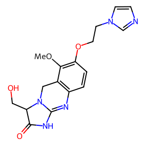 COc1c(OCCn2ccnc2)ccc2c1CN1C(=N2)NC(=O)C1CO